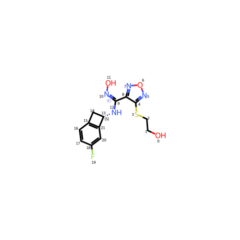 OCCSc1nonc1/C(=N\O)N[C@H]1Cc2ccc(F)cc21